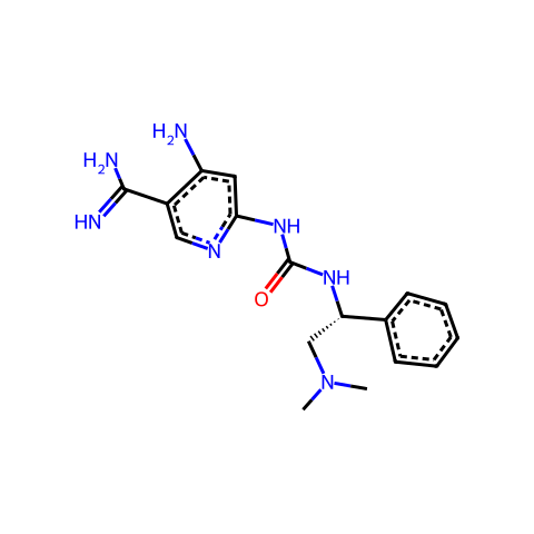 CN(C)C[C@H](NC(=O)Nc1cc(N)c(C(=N)N)cn1)c1ccccc1